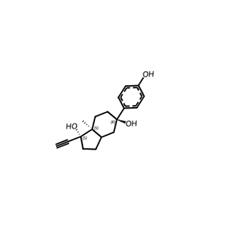 C#C[C@]1(O)CCC2C[C@@](O)(c3ccc(O)cc3)CC[C@@]21C